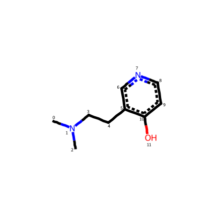 CN(C)CCc1[c]nccc1O